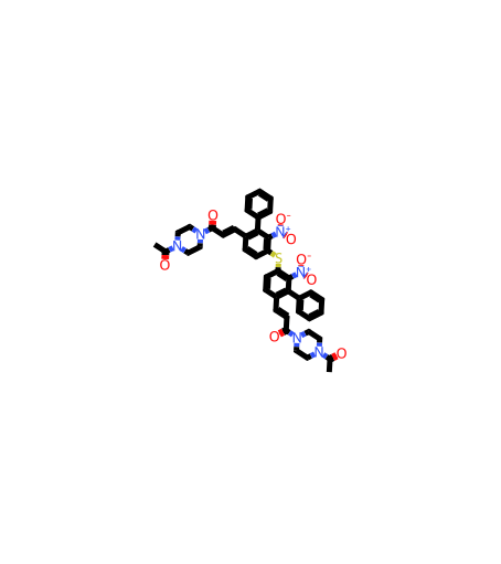 CC(=O)N1CCN(C(=O)/C=C/c2ccc(Sc3ccc(/C=C/C(=O)N4CCN(C(C)=O)CC4)c(-c4ccccc4)c3[N+](=O)[O-])c([N+](=O)[O-])c2-c2ccccc2)CC1